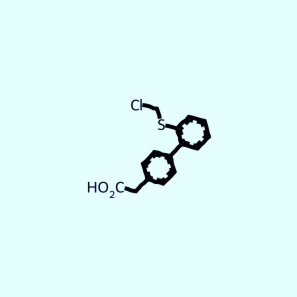 O=C(O)Cc1ccc(-c2ccccc2SCCl)cc1